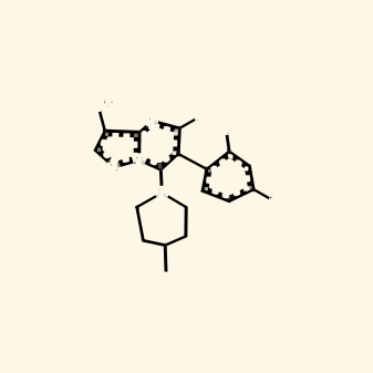 CSc1cnn2c(N3CCC(C)CC3)c(-c3ccc(F)cc3Cl)c(Cl)nc12